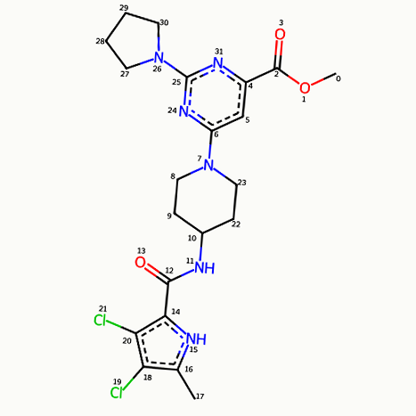 COC(=O)c1cc(N2CCC(NC(=O)c3[nH]c(C)c(Cl)c3Cl)CC2)nc(N2CCCC2)n1